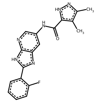 Cc1n[nH]c(C(=O)Nc2cnc3[nH]c(-c4ccccc4F)nc3c2)c1C